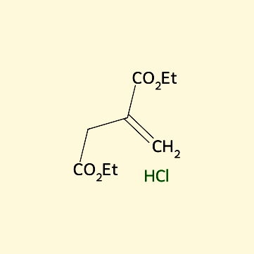 C=C(CC(=O)OCC)C(=O)OCC.Cl